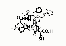 C[C@@H](NC(=O)[C@@H](N)CCS)C(=O)N[C@H](Cc1ccccc1)C(=O)N[C@@H](CCCNC(=N)N)C(=O)N[C@@H](Cc1c[nH]c2ccccc12)C(=O)N[C@H](C(=O)O)C(C)(C)S